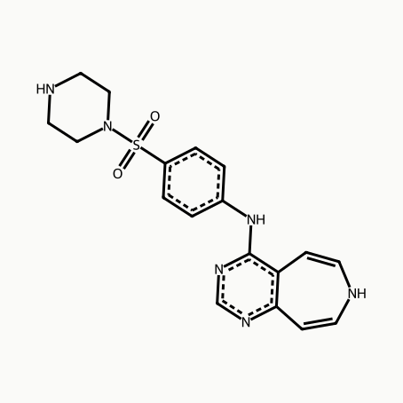 O=S(=O)(c1ccc(Nc2ncnc3c2C=CNC=C3)cc1)N1CCNCC1